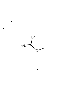 COC(=N)Br